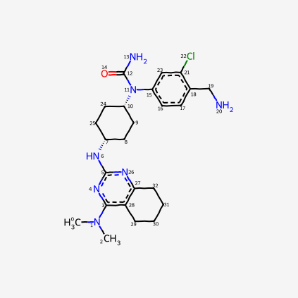 CN(C)c1nc(N[C@H]2CC[C@@H](N(C(N)=O)c3ccc(CN)c(Cl)c3)CC2)nc2c1CCCC2